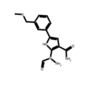 CSCc1cccc(-c2cc(C(N)=O)c(N(N)C=O)[nH]2)c1